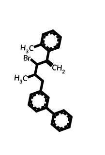 C=C(c1ccccc1C)C(Br)C(C)Cc1cccc(-c2ccccc2)c1